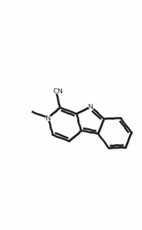 Cn1ccc2c3ccccc3nc-2c1C#N